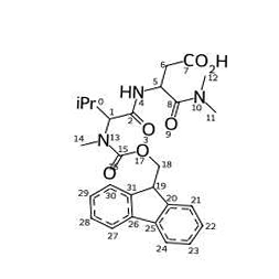 CC(C)C(C(=O)NC(CC(=O)O)C(=O)N(C)C)N(C)C(=O)OCC1c2ccccc2-c2ccccc21